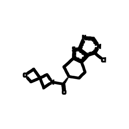 O=C([C@H]1CCc2c(sc3ncnc(Cl)c23)C1)N1CC2(COC2)C1